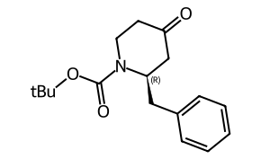 CC(C)(C)OC(=O)N1CCC(=O)C[C@H]1Cc1ccccc1